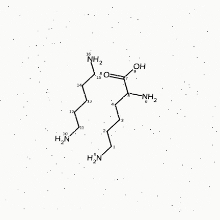 NCCCCC(N)C(=O)O.NCCCCCN